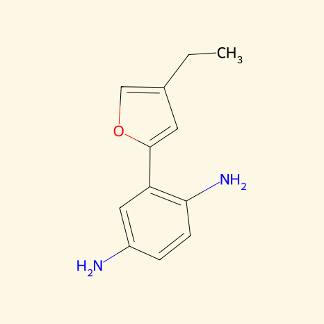 CCc1coc(-c2cc(N)ccc2N)c1